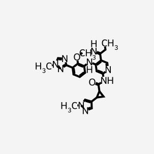 CCC(=N)c1cnc(NC(=O)C2CC2c2cnn(C)c2)cc1Nc1cccc(-c2ncn(C)n2)c1OC